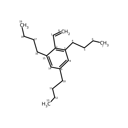 C=Cc1c(CCCC)cc(CCCC)cc1CCCC